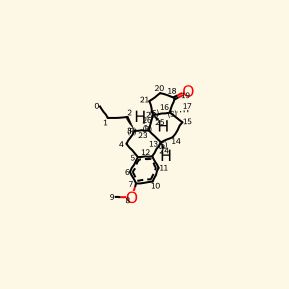 CCC[C@@H]1Cc2cc(OC)ccc2[C@H]2CC[C@]3(C)C(=O)CC[C@H]3[C@H]12